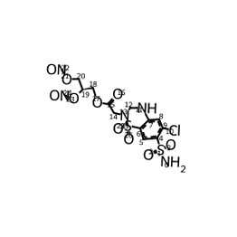 NS(=O)(=O)c1cc2c(cc1Cl)NCN(CC(=O)OC[C@H](CON=O)ON=O)S2(=O)=O